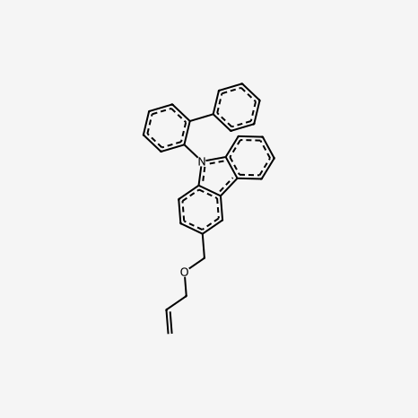 C=CCOCc1ccc2c(c1)c1ccccc1n2-c1ccccc1-c1ccccc1